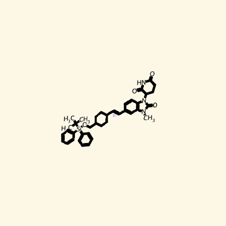 Cn1c(=O)n(C2CCC(=O)NC2=O)c2ccc(/C=C/C3CCC(CO[Si](c4ccccc4)(c4ccccc4)C(C)(C)C)CC3)cc21